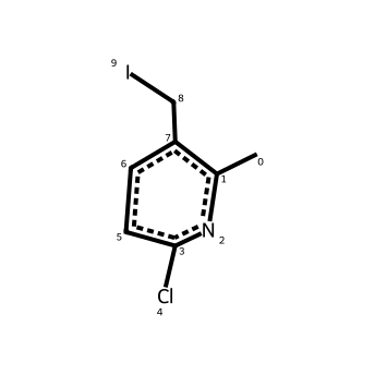 Cc1nc(Cl)ccc1CI